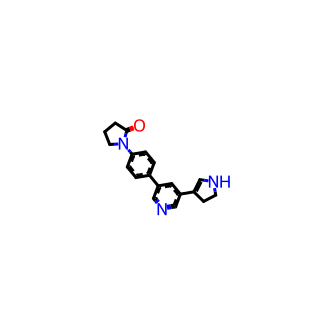 O=C1CCCN1c1ccc(-c2cncc(C3=CNCC3)c2)cc1